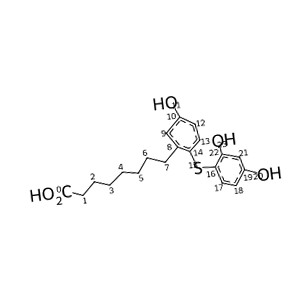 O=C(O)CCCCCCCc1cc(O)ccc1Sc1ccc(O)cc1O